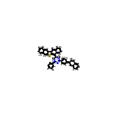 c1ccc(-c2nc(-c3ccc(-c4ccc5ccccc5c4)cc3)nc(-c3c4ccccc4cc4c3sc3cc5ccccc5cc34)n2)cc1